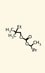 CCC(C)(C)COC(=O)O[C@@H](C)C(C)C